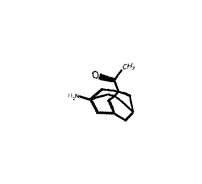 CC(=O)C12CC3CC(CC(N)(C3)C1)C2